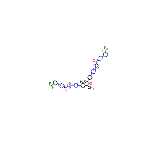 CC(C(=O)C(C)c1ccc(N2CCN(c3nc(C(=O)N4CCN(c5cccc(C(F)(F)F)c5)CC4)cs3)CC2)cc1)c1ccc(N2CCN(c3nc(C(=O)N4CCN(c5cccc(C(F)(F)F)c5)CC4)cs3)CC2)cc1